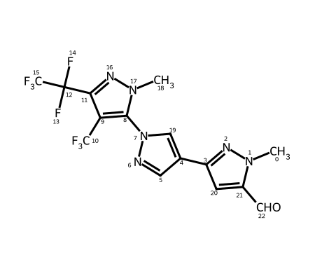 Cn1nc(-c2cnn(-c3c(C(F)(F)F)c(C(F)(F)C(F)(F)F)nn3C)c2)cc1C=O